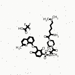 Cc1ccc2cccc(OCc3c(Cl)ccc(S(=O)(=O)NC(C)(C)C(=O)N4CCN(C(=O)C(N)CCCCN(C)C)CC4)c3Cl)c2n1.O=C(O)C(F)(F)F